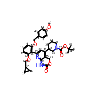 COc1ccc(COc2cccc(OCC3CC3)c2-c2cc(C3CCCN(C(=O)OC(C)(C)C)C3)c3c(n2)NC(=O)OC3)cc1